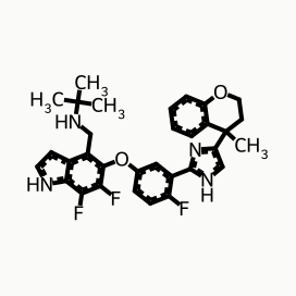 CC(C)(C)NCc1c(Oc2ccc(F)c(-c3nc(C4(C)CCOc5ccccc54)c[nH]3)c2)c(F)c(F)c2[nH]ccc12